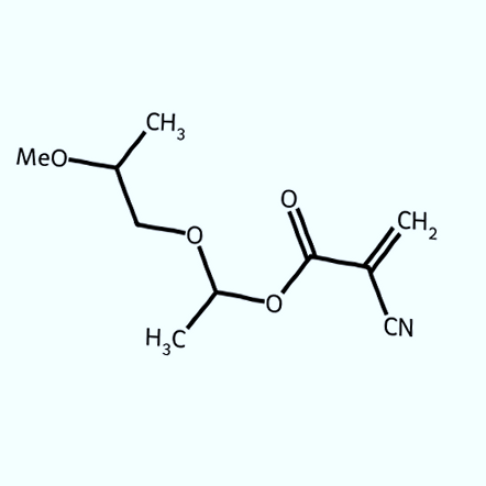 C=C(C#N)C(=O)OC(C)OCC(C)OC